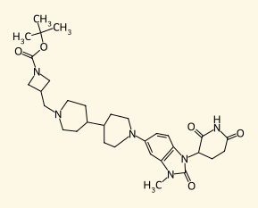 Cn1c(=O)n(C2CCC(=O)NC2=O)c2ccc(N3CCC(C4CCN(CC5CN(C(=O)OC(C)(C)C)C5)CC4)CC3)cc21